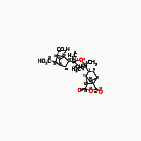 C[Si](C)(O[Si](C)(C)C1CC2CC1C1C(=O)OC(=O)C21)C1CC2CC1C(C(=O)O)C2C(=O)O